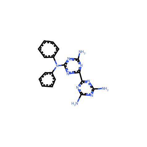 Nc1nc(N)nc(-c2nc(N)nc(N(c3ccccc3)c3ccccc3)n2)n1